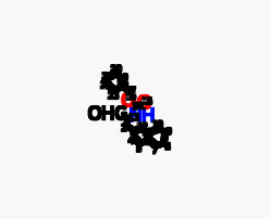 O=[C]C(Cc1ccc2ccccc2c1)NC(=O)OCc1ccccc1